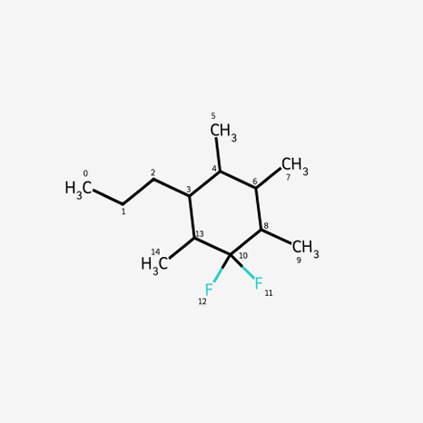 CCCC1C(C)C(C)C(C)C(F)(F)C1C